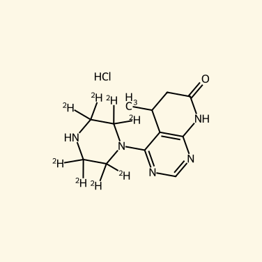 Cl.[2H]C1([2H])NC([2H])([2H])C([2H])([2H])N(c2ncnc3c2C(C)CC(=O)N3)C1([2H])[2H]